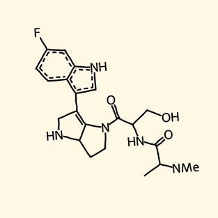 CNC(C)C(=O)NC(CO)C(=O)N1CCC2NCC(c3c[nH]c4cc(F)ccc34)=C21